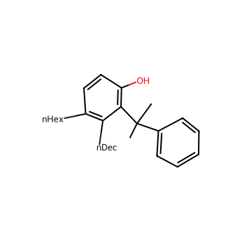 CCCCCCCCCCc1c(CCCCCC)ccc(O)c1C(C)(C)c1ccccc1